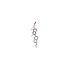 CC=CCOc1ccc2cc(C3CCC4CC(CCC)CCC4C3)c(F)cc2c1F